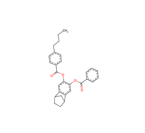 CCCCc1ccc(C(=O)Oc2cc3c(cc2OC(=O)c2ccccc2)C2CCC3C2)cc1